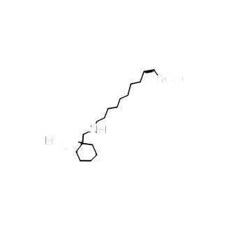 CCCCCCCC/C=C\CCCCCCCCNCC1(C(=O)O)CCCCC1